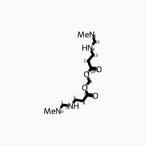 CNCNCCC(=O)OCOC(=O)CCNCNC